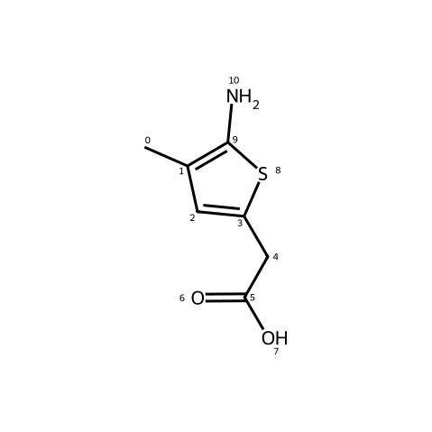 Cc1cc(CC(=O)O)sc1N